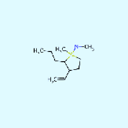 C=CC1CCS(C)(NC)C1CCC